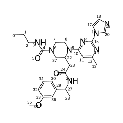 CCCNC(=O)N1CCN(c2cc(C)nc(-n3ccnc3)n2)C(CC(=O)NC(C)c2cccc(OC)c2)C1